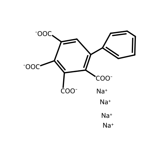 O=C([O-])c1cc(-c2ccccc2)c(C(=O)[O-])c(C(=O)[O-])c1C(=O)[O-].[Na+].[Na+].[Na+].[Na+]